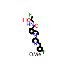 COc1ccc(Cc2cc(N3CCc4c(C(=O)NC[C@@H](O)CF)cccc43)ccn2)cc1F